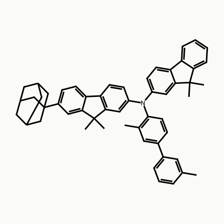 Cc1cccc(-c2ccc(N(c3ccc4c(c3)C(C)(C)c3ccccc3-4)c3ccc4c(c3)C(C)(C)c3cc(C56CC7CC(CC(C7)C5)C6)ccc3-4)c(C)c2)c1